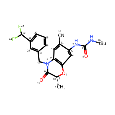 C[C@H]1Oc2cc(NC(=O)NC(C)(C)C)c(C#N)cc2N(Cc2cccc(C(F)F)c2)C1=O